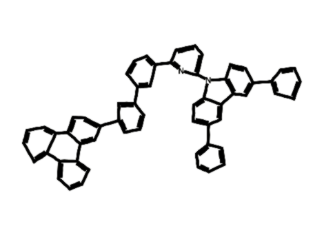 c1ccc(-c2ccc3c(c2)c2cc(-c4ccccc4)ccc2n3-c2cccc(-c3cccc(-c4cccc(-c5ccc6c7ccccc7c7ccccc7c6c5)c4)c3)n2)cc1